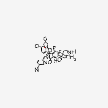 CCC(O)(c1cc(F)c2c(c1)C(=O)N(Cc1ccc(C#N)cn1)[C@@]2(O[C@H]1CCC(=O)C1)c1ccc(Cl)cc1)C1(F)CCNCC1